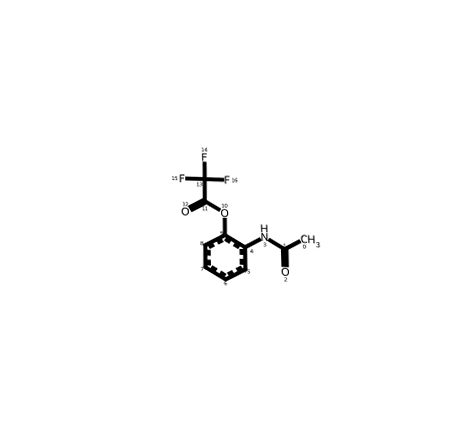 CC(=O)Nc1[c]cccc1OC(=O)C(F)(F)F